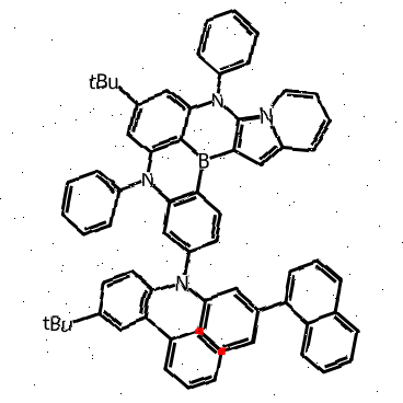 CC(C)(C)c1ccc(N(c2cccc(-c3cccc4ccccc34)c2)c2ccc3c(c2)N(c2ccccc2)c2cc(C(C)(C)C)cc4c2B3c2cc3ccccn3c2N4c2ccccc2)c(-c2ccccc2)c1